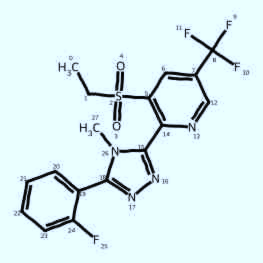 CCS(=O)(=O)c1cc(C(F)(F)F)cnc1-c1nnc(-c2ccccc2F)n1C